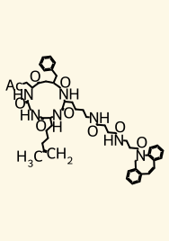 C=C(C)CCCCC1NC(=O)C(CCCCNC(=O)CCC(=O)NCCC(=O)N2Cc3ccccc3/C=C\c3ccccc32)NC(=O)C(Cc2ccccc2)CC(=O)C(CC(C)=O)NC(=O)CNC1=O